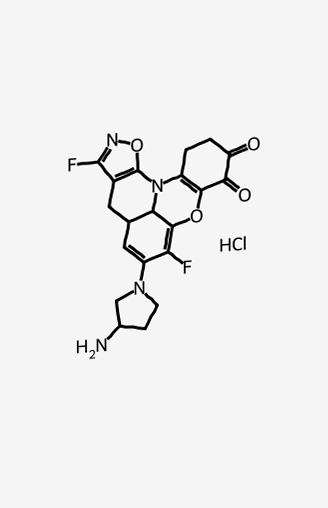 Cl.NC1CCN(C2=CC3Cc4c(F)noc4N4C5=C(OC(=C2F)C34)C(=O)C(=O)CC5)C1